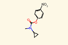 CN(C(=O)Oc1ccc([N+](=O)[O-])cc1)C1CC1